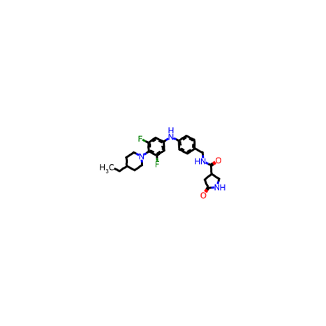 CCC1CCN(c2c(F)cc(Nc3ccc(CNC(=O)C4CNC(=O)C4)cc3)cc2F)CC1